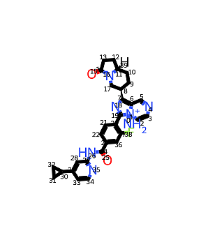 N[N+]12C=CN=CC1=C([C@@H]1CC[C@H]3CCC(=O)N3C1)N=C2c1ccc(C(=O)Nc2cc(C3CC3)ccn2)cc1F